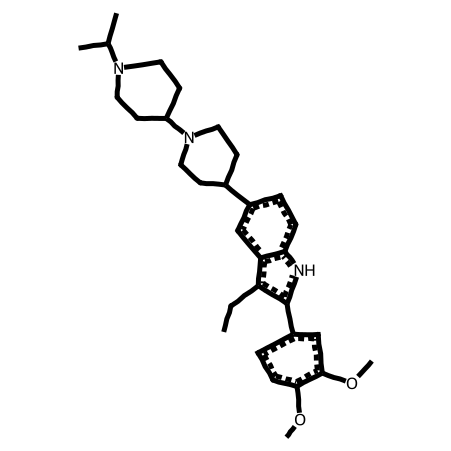 CCc1c(-c2ccc(OC)c(OC)c2)[nH]c2ccc(C3CCN(C4CCN(C(C)C)CC4)CC3)cc12